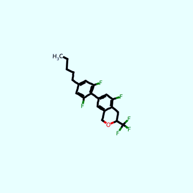 CCCCCc1cc(F)c(-c2cc(F)c3c(c2)COC(C(F)(F)F)C3)c(F)c1